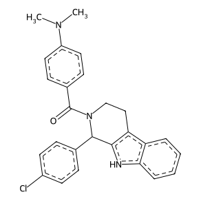 CN(C)c1ccc(C(=O)N2CCc3c([nH]c4ccccc34)C2c2ccc(Cl)cc2)cc1